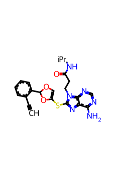 C#Cc1ccccc1C1OC=C(Sc2nc3c(N)ncnc3n2CCC(=O)NC(C)C)O1